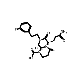 NC(=O)CC[C@H]1C(=O)N(CCc2cccc(F)c2)C[C@@H]2N(C(=O)O)CCC(=O)N21